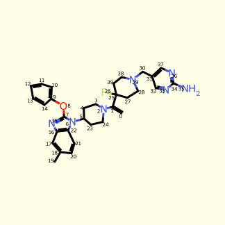 C=C(N1CCC(n2c(Oc3ccccc3)nc3cc(C)ccc32)CC1)C1(F)CCN(Cc2cnc(N)nc2)CC1